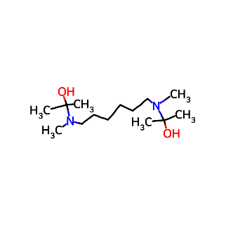 CN(CCCCCCN(C)C(C)(C)O)C(C)(C)O